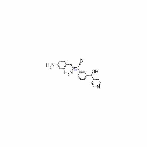 N#C/C(=C(/N)Sc1ccc(N)cc1)c1cccc(C(O)c2ccncc2)c1